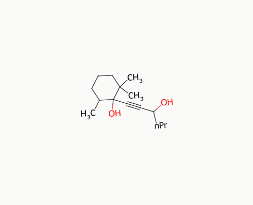 CCCC(O)C#CC1(O)C(C)CCCC1(C)C